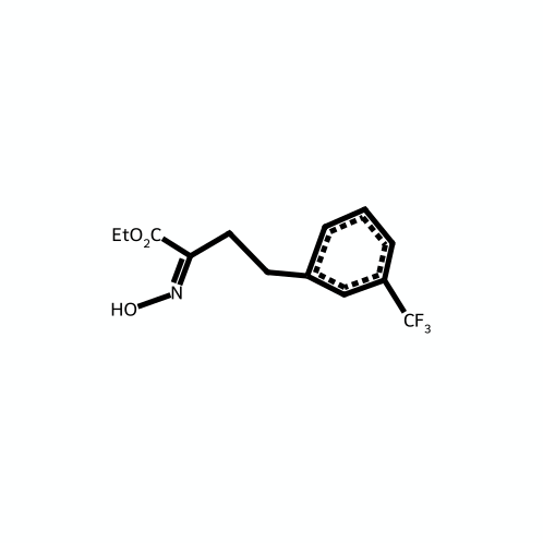 CCOC(=O)C(CCc1cccc(C(F)(F)F)c1)=NO